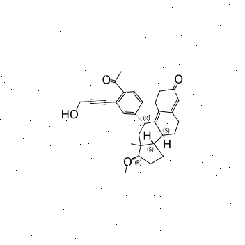 CO[C@@H]1CC[C@H]2[C@@H]3CCC4=CC(=O)CCC4=C3[C@@H](c3ccc(C(C)=O)c(C#CCO)c3)CC12C